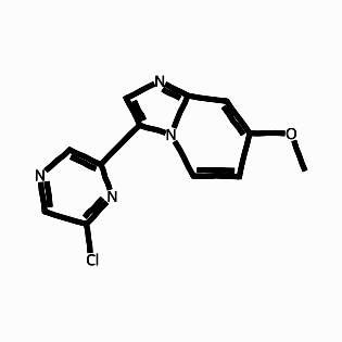 COc1ccn2c(-c3cncc(Cl)n3)cnc2c1